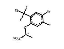 CCC(F)(F)c1cc(Br)c(F)cc1O[C@@H](C)C(=O)O